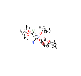 CC1(C)OB(c2cc3c(C#N)c(O[C@@H]4CO[C@@H]5C(O[Si](C)(C)C(C)(C)C)CO[C@@H]54)n(COCC[Si](C)(C)C)c3cc2Cl)OC1(C)C